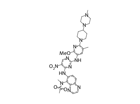 COc1nc(N2CCC(N3CCN(C)CC3)CC2)c(C)cc1Nc1ncc([N+](=O)[O-])c(Nc2ccc3nccnc3c2N(C)S(C)(=O)=O)n1